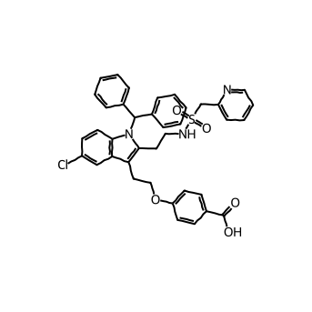 O=C(O)c1ccc(OCCc2c(CCNS(=O)(=O)Cc3ccccn3)n(C(c3ccccc3)c3ccccc3)c3ccc(Cl)cc23)cc1